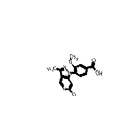 COc1cc(C(=O)O)ccc1-n1nc(C)c2cnc(Cl)cc21